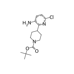 CC(C)(C)OC(=O)N1CCC(c2nc(Cl)ccc2N)CC1